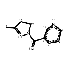 CC1=NN(C(=O)c2cccnc2)CC1